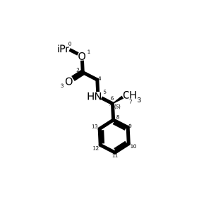 CC(C)OC(=O)CN[C@@H](C)c1ccccc1